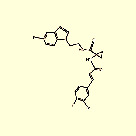 O=C(C=Cc1ccc(F)c(Br)c1)NC1(C(=O)NCCn2ccc3cc(F)ccc32)CC1